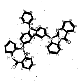 O=c1[nH]c2ccccc2n(-c2ccc3c(c2)c2cc(-n4c5ccccc5n5c(=O)c6ccccc6nc45)ccc2n3-c2ccccc2)[nH]c2ccccc12